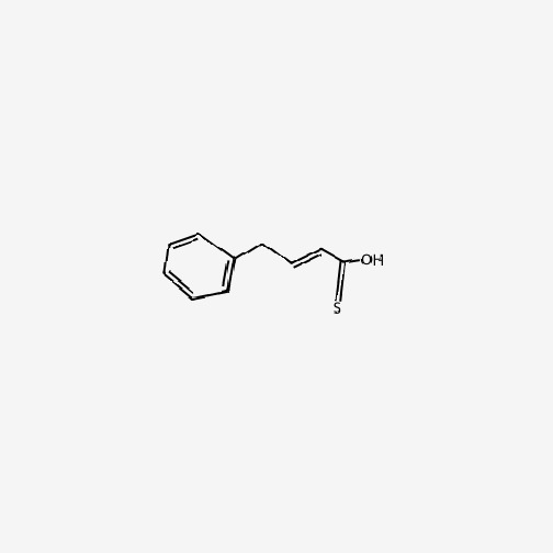 OC(=S)C=CCc1ccccc1